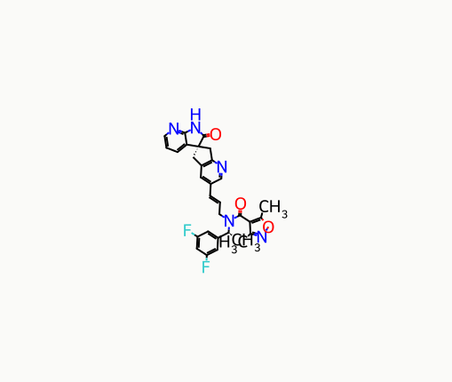 Cc1noc(C)c1C(=O)N(C/C=C/c1cnc2c(c1)C[C@@]1(C2)C(=O)Nc2ncccc21)[C@H](C)c1cc(F)cc(F)c1